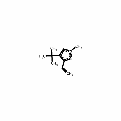 C=Cc1nn(C)cc1C(C)(C)C